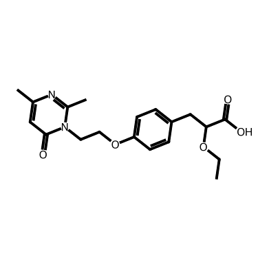 CCOC(Cc1ccc(OCCn2c(C)nc(C)cc2=O)cc1)C(=O)O